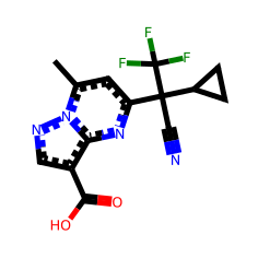 Cc1cc(C(C#N)(C2CC2)C(F)(F)F)nc2c(C(=O)O)cnn12